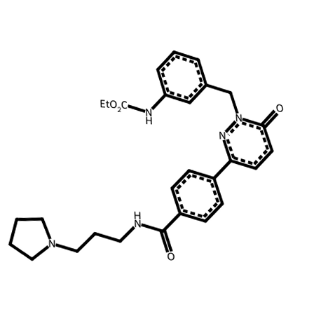 CCOC(=O)Nc1cccc(Cn2nc(-c3ccc(C(=O)NCCCN4CCCC4)cc3)ccc2=O)c1